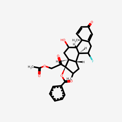 CC(=O)OCC(=O)[C@@]1(OC(=O)c2ccccc2)C(C)C[C@H]2[C@@H]3C(F)CC4=CC(=O)C=C[C@]4(C)[C@H]3C(O)C[C@@]21C